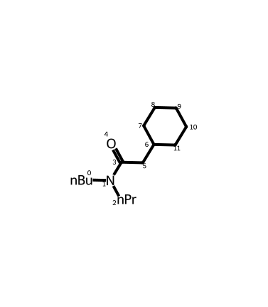 CCCCN(CCC)C(=O)CC1CCCCC1